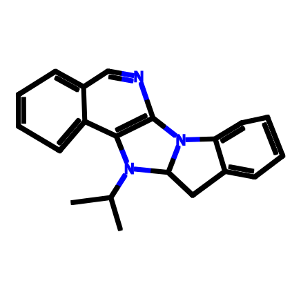 CC(C)N1c2c(ncc3ccccc23)N2c3ccccc3CC21